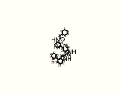 O=C(CC1CCCCC1)Nc1cncc(-c2cc3c(-c4cc5c(-c6ccccc6F)cccc5[nH]4)n[nH]c3cn2)c1